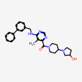 Cc1c(NCc2cccc(-c3ccccc3)c2)ncnc1C(=O)N1CCC(N2CCC(O)C2)CC1